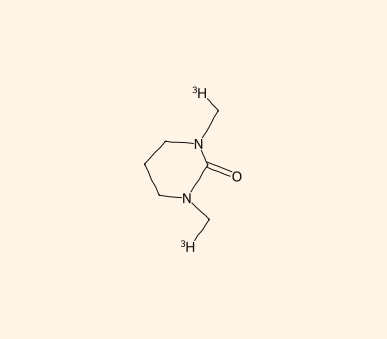 [3H]CN1CCCN(C[3H])C1=O